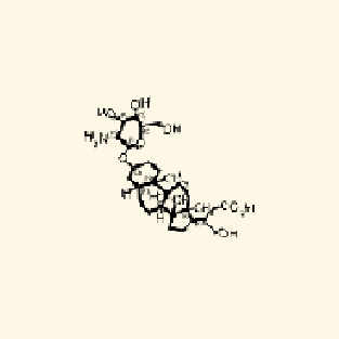 C[C@]12CC[C@H](O[C@@H]3O[C@H](CO)[C@@H](O)[C@H](O)[C@H]3N)C[C@H]1CC[C@@H]1[C@@H]2CC[C@]2(C)[C@@H]([C@H](CO)CC(=O)O)CCC12O